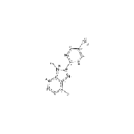 Cc1ccnc2c1nc(-c1ccc(C(F)(F)F)cc1)n2C